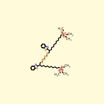 CCO[Si](CCCCCCCCCCC(CSSSSSSCC(CCCCCCCCCC[Si](OCC)(OCC)OCC)c1nc2ccccc2s1)c1nc2ccccc2s1)(OCC)OCC